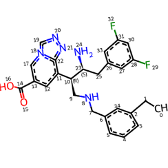 CCc1cccc(CNC[C@@H](c2cc(C(=O)O)cn3cnnc23)[C@@H](N)Cc2cc(F)cc(F)c2)c1